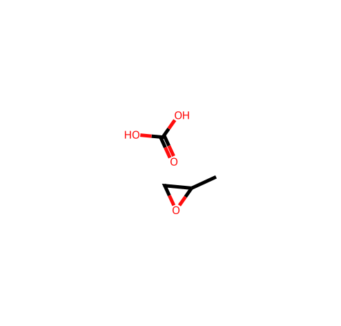 CC1CO1.O=C(O)O